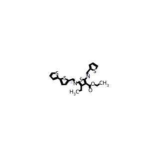 CCOC(=O)c1c(/N=C/c2cccs2)sc(/N=C/c2ccc(-c3cccs3)s2)c1CC